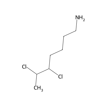 CC(Cl)C(Cl)CCCCN